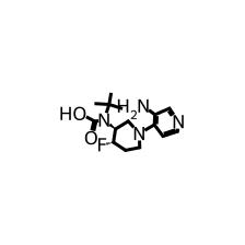 CC(C)(C)N(C(=O)O)[C@H]1CN(c2ccncc2N)CC[C@@H]1F